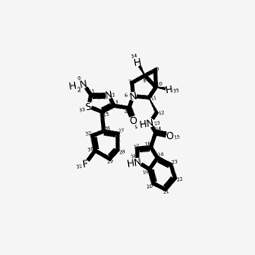 Nc1nc(C(=O)N2C[C@@H]3C[C@@H]3[C@H]2CNC(=O)c2c[nH]c3ccccc23)c(-c2cccc(F)c2)s1